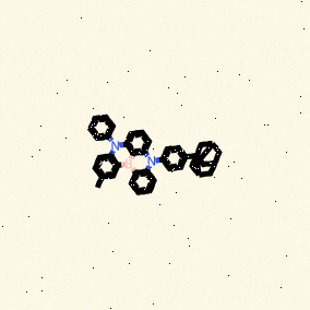 Cc1ccc2c(c1)B1c3ccccc3N(c3ccc(C45CC6CC(CC(C6)C4)C5)cc3)c3cccc(c31)N2c1ccccc1